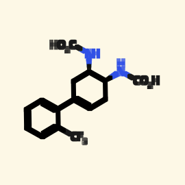 O=C(O)N[C@H]1CC=C(c2ccccc2C(F)(F)F)C[C@H]1NC(=O)O